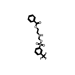 O=C(OCCNCOS(=O)(=O)c1cccc(C(F)(F)F)c1)c1ccccc1